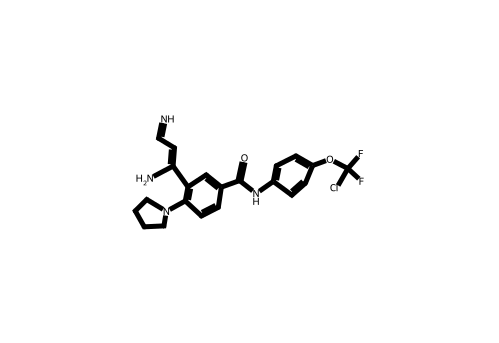 N=C/C=C(\N)c1cc(C(=O)Nc2ccc(OC(F)(F)Cl)cc2)ccc1N1CCCC1